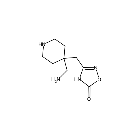 NCC1(Cc2noc(=O)[nH]2)CCNCC1